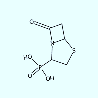 O=C1CC2SCC(P(=O)(O)O)N12